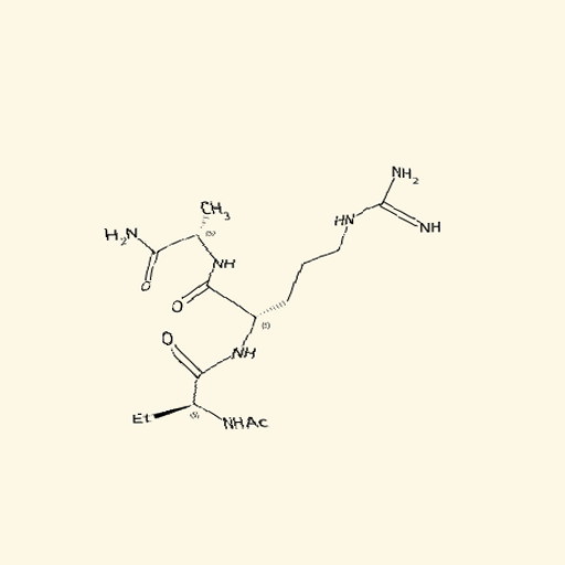 CC[C@H](NC(C)=O)C(=O)N[C@@H](CCCNC(=N)N)C(=O)N[C@@H](C)C(N)=O